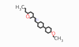 CCCC1CCC(/C=C/C2CCC(C3CCC(OCC)CC3)CC2)CO1